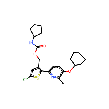 Cc1nc(-c2sc(Cl)cc2COC(=O)NC2CCCC2)ccc1OC1CCCCC1